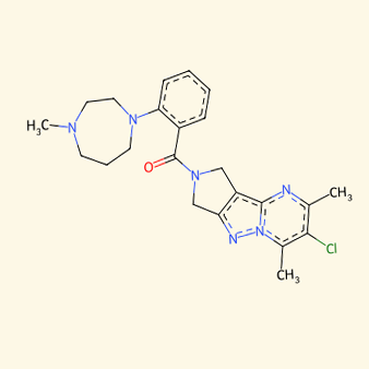 Cc1nc2c3c(nn2c(C)c1Cl)CN(C(=O)c1ccccc1N1CCCN(C)CC1)C3